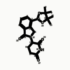 CC1(C)OB(c2cccc3c2CN(C2CCC(=O)NC2=O)C3=O)OC1(C)C